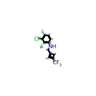 Fc1ccc(NCC23CC(C(F)(F)F)(C2)C3)c(F)c1Cl